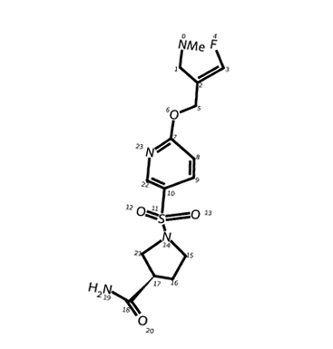 CNC/C(=C\F)COc1ccc(S(=O)(=O)N2CC[C@@H](C(N)=O)C2)cn1